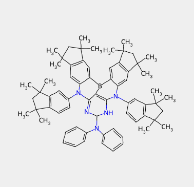 CC1(C)CC(C)(C)c2cc(N3C4=NC(N(c5ccccc5)c5ccccc5)NC5=C4B(c4cc6c(cc43)C(C)(C)CC6(C)C)c3cc4c(cc3N5c3ccc5c(c3)C(C)(C)CC5(C)C)C(C)(C)CC4(C)C)ccc21